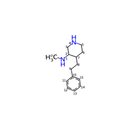 CNC1CNCCC1CCc1ccccc1